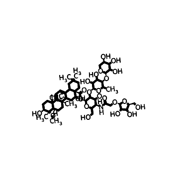 CO[C@]1(C)[C@@H]2CC[C@@]3(C)C(CC=C4C5CC(C)(C)CC[C@]5(C(=O)O[C@@H]5OC(CO)[C@H](NC(=O)CO[C@@H]6O[C@@H](CO)C(O)C6O)C(O)C5O[C@@H]5OC(C)[C@H](O[C@@H]6OC[C@@H](O)C(O)C6O)C(O)C5O)C(O)C[C@]43C)C2(C)CC[C@@H]1O